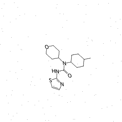 CC1CCC(N(C(=O)Nc2nccs2)C2CCOCC2)CC1